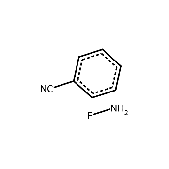 N#Cc1ccccc1.NF